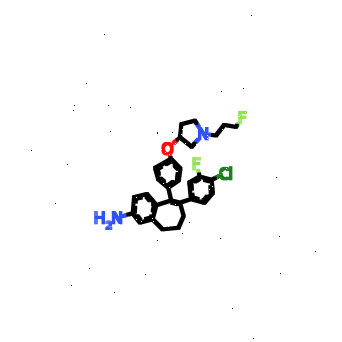 Nc1ccc2c(c1)CCCC(c1ccc(Cl)c(F)c1)=C2c1ccc(O[C@H]2CCN(CCCF)C2)cc1